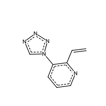 C=Cc1ncccc1-n1cnnn1